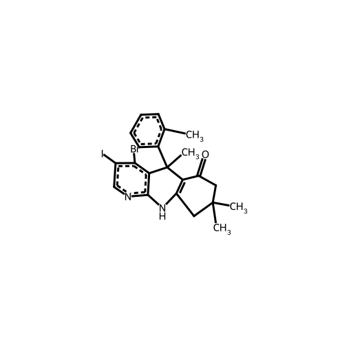 Cc1ccccc1C1(C)C2=C(CC(C)(C)CC2=O)Nc2ncc(I)c(Br)c21